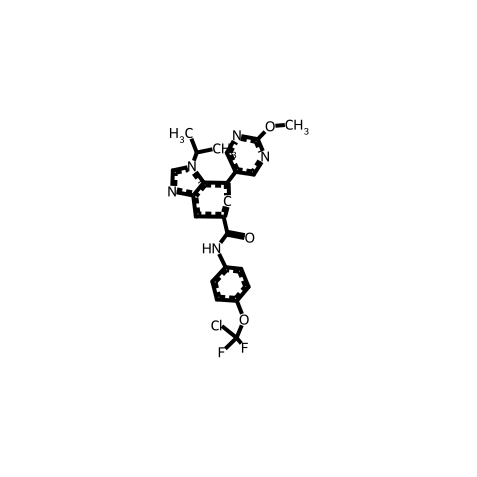 COc1ncc(-c2cc(C(=O)Nc3ccc(OC(F)(F)Cl)cc3)cc3ncn(C(C)C)c23)cn1